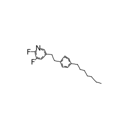 CCCCCCCc1ccc(CCc2cnc(F)c(F)c2)cc1